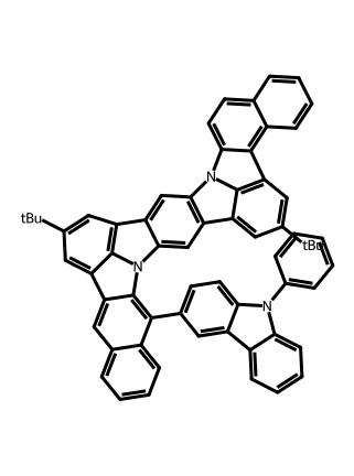 CC(C)(C)c1cc2c3cc4c(cc3n3c5ccc6ccccc6c5c(c1)c23)c1cc(C(C)(C)C)cc2c3cc5ccccc5c(-c5ccc6c(c5)c5ccccc5n6-c5ccccc5)c3n4c12